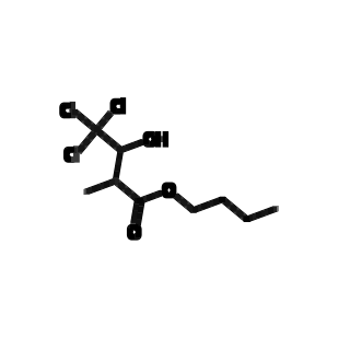 CCCCOC(=O)C(C)C(O)C(Cl)(Cl)Cl